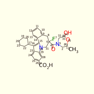 C[C@@H]1CN(C(=O)C2(F)Cc3ccccc3-c3c(C4CCCCC4)c4ccc(C(=O)O)cc4n3C2)C[C@H](O)O1